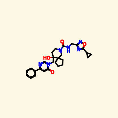 O=C(NCc1noc(C2CC2)n1)N1CCC(O)(Cn2cnc(-c3ccccc3)cc2=O)C2(CCCC2)C1